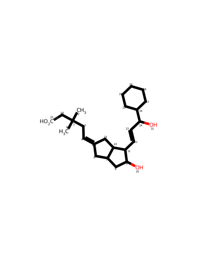 CC(C)(CC=C1CC2CC(O)C(C=CC(O)C3CCCCC3)C2C1)CC(=O)O